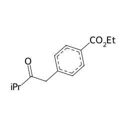 CCOC(=O)c1ccc(CC(=O)C(C)C)cc1